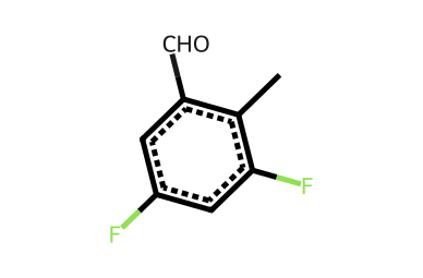 Cc1c(F)cc(F)cc1C=O